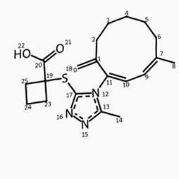 C=C1CCCCC/C(C)=C\C=C/1n1c(C)nnc1SC1(C(=O)O)CCC1